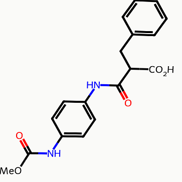 COC(=O)Nc1ccc(NC(=O)C(Cc2ccccc2)C(=O)O)cc1